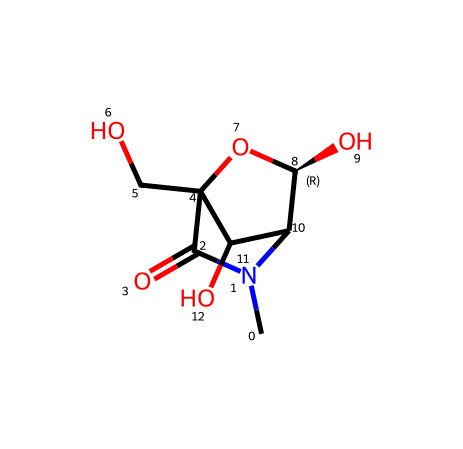 CN1C(=O)C2(CO)O[C@@H](O)C1C2O